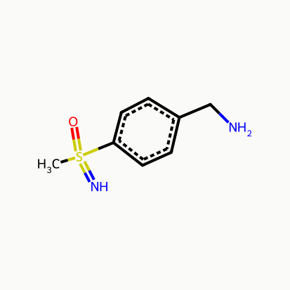 CS(=N)(=O)c1ccc(CN)cc1